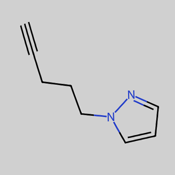 C#CCCCn1cccn1